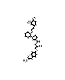 COc1ccc(CCO[C@H]2CCCC[C@@H]2N2CC[C@H](NCC(O)COc3ccc(CC(N)=O)cc3)C2)cc1OC